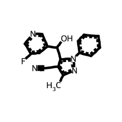 Cc1nn(-c2ccccc2)c(C(O)c2cncc(F)c2)c1C#N